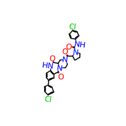 O=C1Nc2ccc(-c3ccc(Cl)cc3)cc2C(=O)N2CCN(C(=O)C3CCCN3C(=O)Nc3ccc(Cl)cc3)CC12